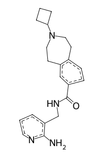 Nc1ncccc1CNC(=O)c1ccc2c(c1)CCN(C1CCC1)CC2